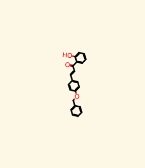 O=C(C=Cc1ccc(OCc2ccccc2)cc1)c1ccccc1O